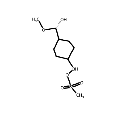 CO[C@H](O)C1CCC(BOS(C)(=O)=O)CC1